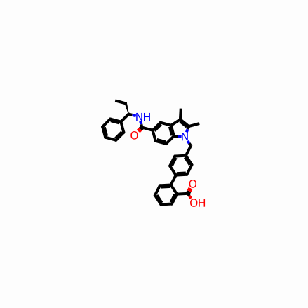 CC[C@@H](NC(=O)c1ccc2c(c1)c(C)c(C)n2Cc1ccc(-c2ccccc2C(=O)O)cc1)c1ccccc1